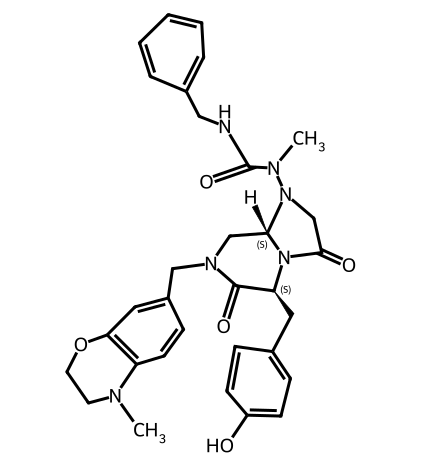 CN1CCOc2cc(CN3C[C@H]4N(C(=O)CN4N(C)C(=O)NCc4ccccc4)[C@@H](Cc4ccc(O)cc4)C3=O)ccc21